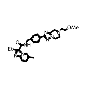 CCc1nc2ccc(C)cn2c1C(=O)NCc1ccc(-c2nc3n(n2)CCN(CCOC)C3)cc1